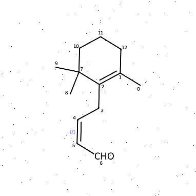 CC1=C(C/C=C\C=O)C(C)(C)CCC1